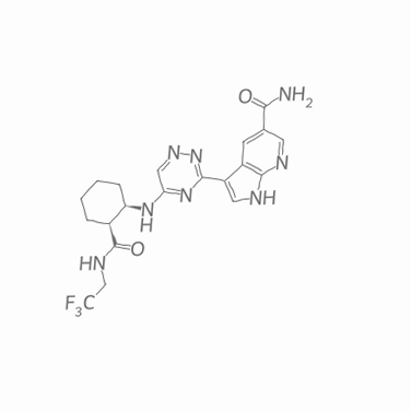 NC(=O)c1cnc2[nH]cc(-c3nncc(N[C@@H]4CCCC[C@@H]4C(=O)NCC(F)(F)F)n3)c2c1